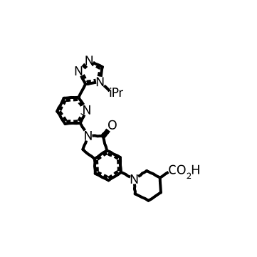 CC(C)n1cnnc1-c1cccc(N2Cc3ccc(N4CCCC(C(=O)O)C4)cc3C2=O)n1